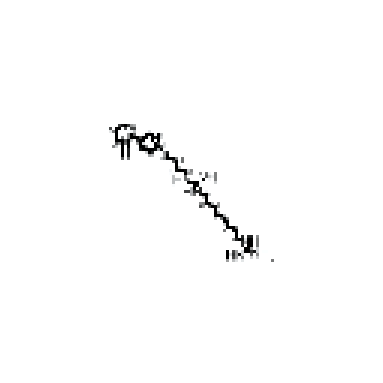 N=C(N)NCCCCCCCCNC(=N)NCCCCOc1ccc(C2=NCCCN2)cn1